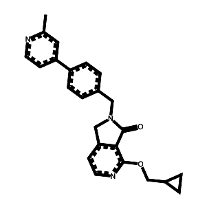 Cc1cc(-c2ccc(CN3Cc4ccnc(OCC5CC5)c4C3=O)cc2)ccn1